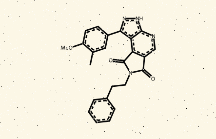 COc1ccc(-c2n[nH]c3ncc4c(c23)C(=O)N(CCc2ccccc2)C4=O)cc1C